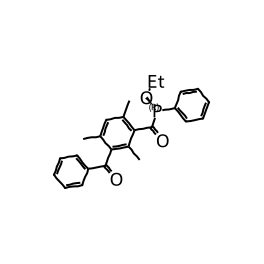 CCO[P@](C(=O)c1c(C)cc(C)c(C(=O)c2ccccc2)c1C)c1ccccc1